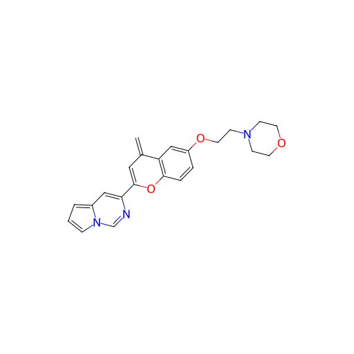 C=C1C=C(c2cc3cccn3cn2)Oc2ccc(OCCN3CCOCC3)cc21